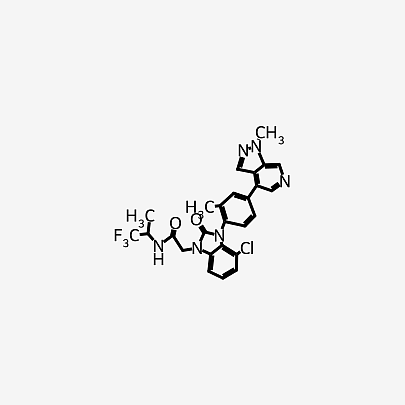 Cc1cc(-c2cncc3c2cnn3C)ccc1-n1c(=O)n(CC(=O)NC(C)C(F)(F)F)c2cccc(Cl)c21